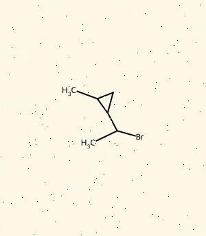 CC(Br)C1CC1C